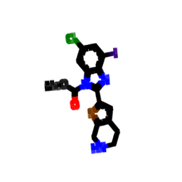 COC(=O)n1c(-c2cc3c(s2)CNCC3)nc2c(I)cc(Cl)cc21